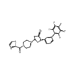 O=C(c1nccs1)N1CCN(C2CC(=O)N(c3cccc(-c4c(F)c(F)c(F)c(F)c4F)c3)C2)CC1